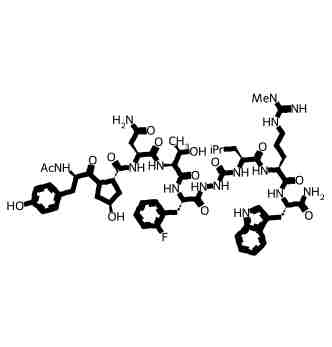 CNC(=N)NCCC[C@H](NC(=O)[C@H](CC(C)C)NC(=O)NNC(=O)[C@H](Cc1ccccc1F)NC(=O)[C@@H](NC(=O)[C@H](CC(N)=O)NC(=O)[C@@H]1C[C@@H](O)CC1C(=O)[C@@H](Cc1ccc(O)cc1)NC(C)=O)[C@@H](C)O)C(=O)N[C@@H](Cc1c[nH]c2ccccc12)C(N)=O